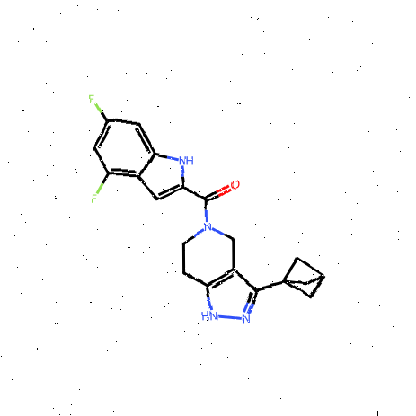 O=C(c1cc2c(F)cc(F)cc2[nH]1)N1CCc2[nH]nc(C34CC(C3)C4)c2C1